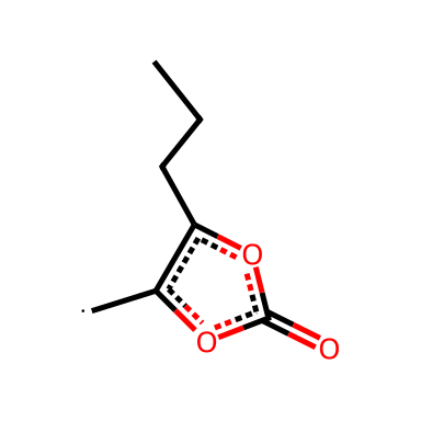 [CH2]c1oc(=O)oc1CCC